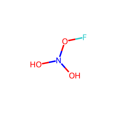 ON(O)OF